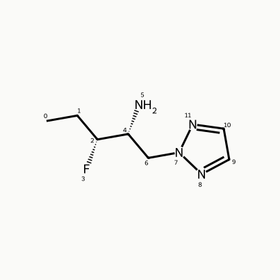 CC[C@@H](F)[C@H](N)Cn1nccn1